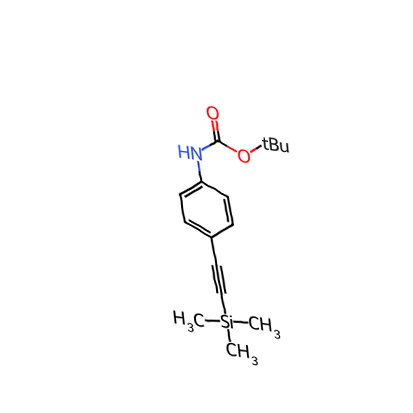 CC(C)(C)OC(=O)Nc1ccc(C#C[Si](C)(C)C)cc1